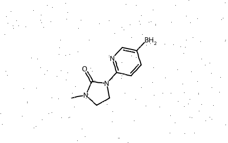 Bc1ccc(N2CCN(C)C2=O)nc1